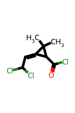 CC1(C)C(=CC(Cl)Cl)C1C(=O)Cl